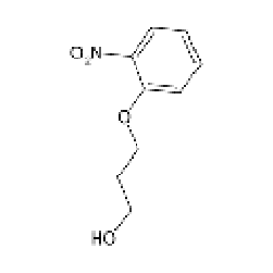 O=[N+]([O-])c1ccccc1OCCCO